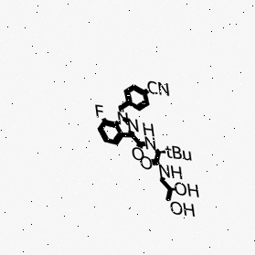 CC(C)(C)[C@H](NC(=O)c1nn(Cc2ccc(C#N)cc2)c2c(F)cccc12)C(=O)NC[C@@H](O)CO